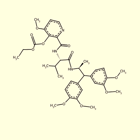 CCOC(=O)Oc1c(OC)ccnc1C(=O)N[C@H](C(=O)N[C@@H](C)C(c1ccc(OC)c(OC)c1)c1ccc(OC)c(OC)c1)C(C)C